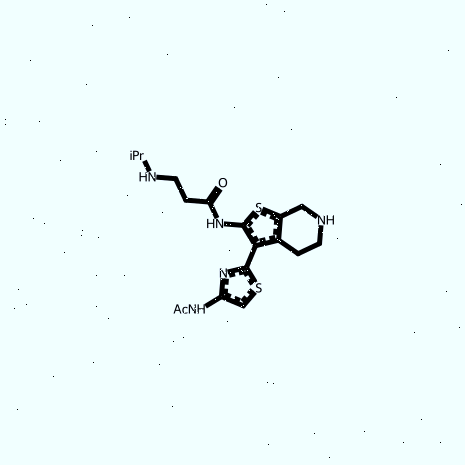 CC(=O)Nc1csc(-c2c(NC(=O)CCNC(C)C)sc3c2CCNC3)n1